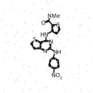 CNC(=O)c1sccc1Nc1nc(Nc2ccc([N+](=O)[O-])cc2)nc2ccsc12